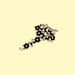 CCC(C)C(C(CC(=O)N1CCC[C@H]1C(OC)C(C)C(=O)NC(Cc1ccccc1)C(=O)Nc1ccc(CNC(=O)Oc2ccc([N+](=O)[O-])cc2)cc1)OC)N(C)C(=O)C(NC(=O)C1C2CCC(C2)N1C(=O)O)C(C)C